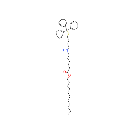 CCCCCCCCCCCOC(=O)CCCCCNCCCCSC(c1ccccc1)(c1ccccc1)c1ccccc1